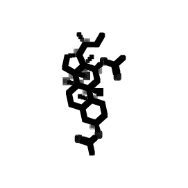 CC[C@@H](C)[C@H]1CC[C@H]2[C@@H]3CCC4C[C@H](OC(C)=O)CC[C@]4(C)[C@H]3C[C@H](OC(C)=O)[C@]12C